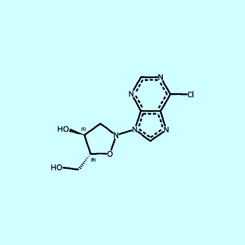 OC[C@H]1ON(n2cnc3c(Cl)ncnc32)C[C@@H]1O